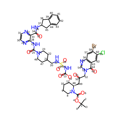 CC(C)(C)OC(=O)N1CCC[C@H](OC(=O)NS(=O)(=O)NCC2CCN(C(=O)Nc3nccnc3C(=O)NC3Cc4ccccc4C3)CC2)[C@H]1CC(=O)Cn1cnc2cc(Br)c(Cl)cc2c1=O